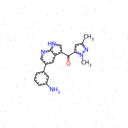 Cc1cc(C(=O)c2c[nH]c3ncc(-c4cccc(N)c4)cc23)n(C)n1